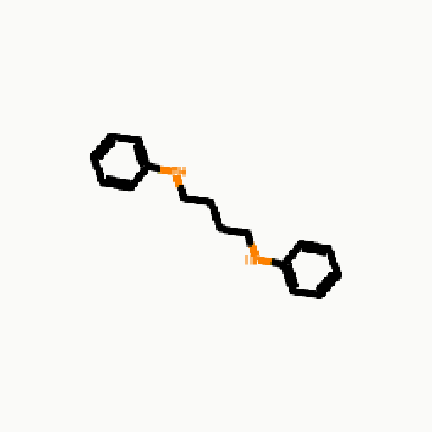 c1ccc(PCCCCPc2ccccc2)cc1